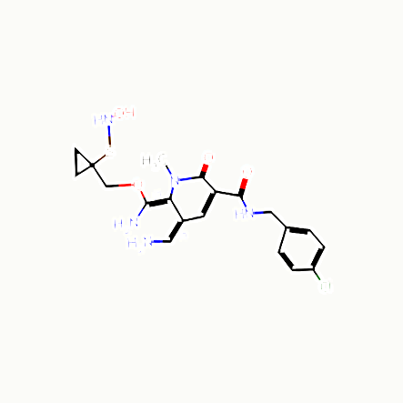 Cn1c(=O)c(C(=O)NCc2ccc(Cl)cc2)cc(=C/N)/c1=C(\N)OCC1(SNO)CC1